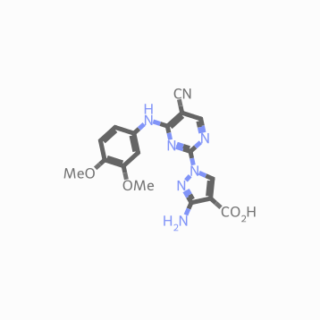 COc1ccc(Nc2nc(-n3cc(C(=O)O)c(N)n3)ncc2C#N)cc1OC